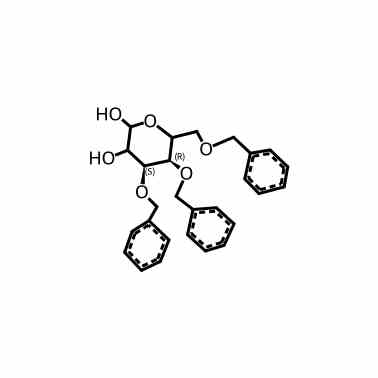 OC1OC(COCc2ccccc2)[C@@H](OCc2ccccc2)[C@@H](OCc2ccccc2)C1O